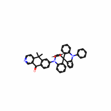 CC1(C)c2ccncc2C(=O)c2ccc(N3c4ccccc4C4(c5ccccc5N(c5ccccc5)c5ccccc54)c4ccccc43)cc21